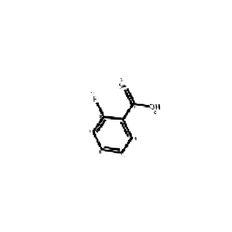 OC(=[Se])c1ccccc1F